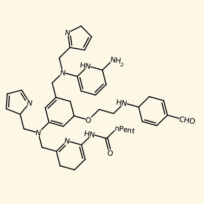 CCCCCC(=O)NC1=CCCC(CN(CC2C=CC=N2)C2=CC(OCCNC3C=CC(C=O)=CC3)CC(CN(CC3=NCC=C3)C3=CC=CC(N)N3)=C2)=N1